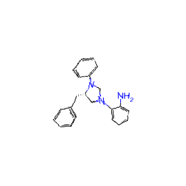 Nc1ccccc1N1C[C@H](Cc2ccccc2)N(c2ccccc2)C1